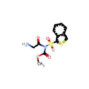 COC(=O)N(C(=O)CN)S(=O)(=O)c1scc2ccccc12